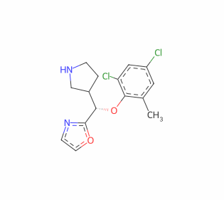 Cc1cc(Cl)cc(Cl)c1O[C@H](c1ncco1)C1CCNC1